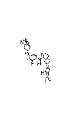 C=CC(=O)N1C[C@@H]2C[C@H]1CN2c1ccc2ncnc(Nc3ccc(Oc4ccn5ncnc5c4)c(C)c3F)c2n1